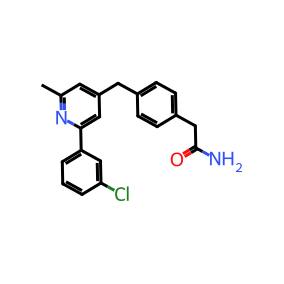 Cc1cc(Cc2ccc(CC(N)=O)cc2)cc(-c2cccc(Cl)c2)n1